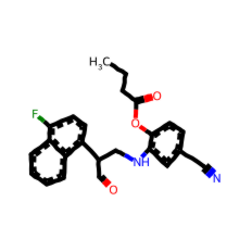 CCCC(=O)Oc1ccc(C#N)cc1NCC(C=O)c1ccc(F)c2ccccc12